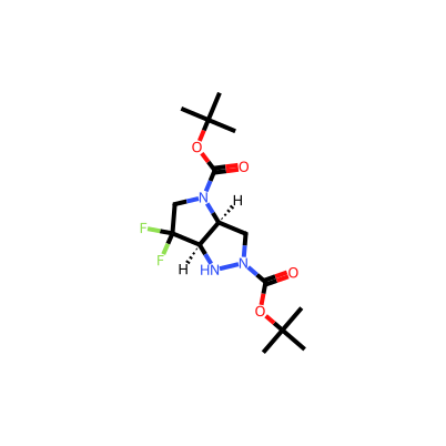 CC(C)(C)OC(=O)N1C[C@H]2[C@@H](N1)C(F)(F)CN2C(=O)OC(C)(C)C